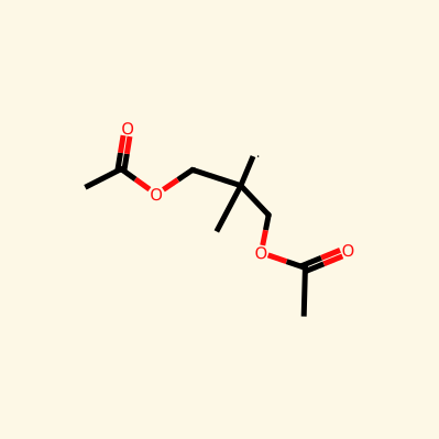 [CH2]C(C)(COC(C)=O)COC(C)=O